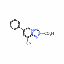 N#Cc1cc(-c2ccccc2)cn2cc(C(=O)O)nc12